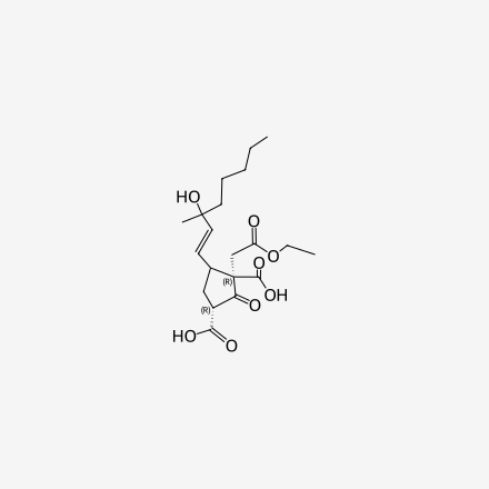 CCCCCC(C)(O)C=CC1C[C@@H](C(=O)O)C(=O)[C@]1(CC(=O)OCC)C(=O)O